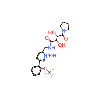 O=C(NCc1ccc(-c2ccccc2OC(F)(F)F)c[n+]1O)[C@H](O)[C@@H](O)C(=O)N1CCCC1